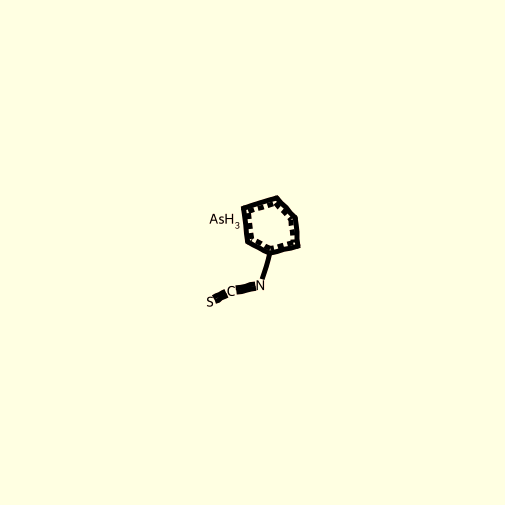 S=C=Nc1ccccc1.[AsH3]